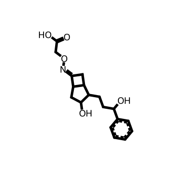 O=C(O)CON=C1CC2C1CC(O)C2CCC(O)c1ccccc1